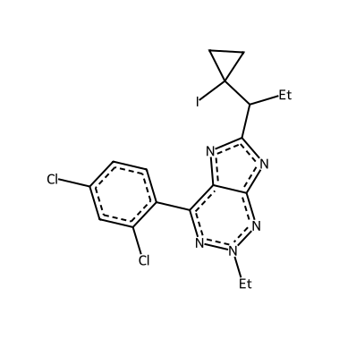 CCC(c1nc2nn(CC)nc(-c3ccc(Cl)cc3Cl)c-2n1)C1(I)CC1